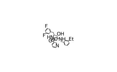 CCc1cccc(CNCC(O)C(Cc2cc(F)cc(F)c2)NS(=O)(=O)c2cccnc2)c1